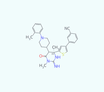 Cc1ccccc1N1CCC(C2C(=O)N(C)C(=N)N[C@]2(C)c2cc(-c3cccc(C#N)c3)cs2)CC1